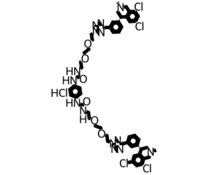 CN1Cc2c(Cl)cc(Cl)cc2[C@H](c2cccc(-c3nnn(CCOCCOCCNC(=O)Nc4ccc(NC(=O)NCCOCCOCCn5nnc(-c6cccc([C@@H]7CN(C)Cc8c(Cl)cc(Cl)cc87)c6)n5)cc4)n3)c2)C1.Cl